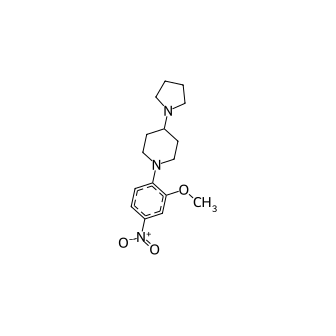 COc1cc([N+](=O)[O-])ccc1N1CCC(N2CCCC2)CC1